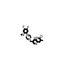 C=Nc1cc(F)c(F)cc1N1CCN(Cc2cnc3cc(C)c(=O)[nH]c3c2)CC1